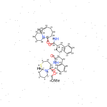 COC(=O)[C@@H]1CCC[C@@H]2SCC[C@H](NC(=O)[C@H](CC[C@H](Cc3ccccc3)C(=O)N[C@H]3CC/C=C\[C@H]4CCCCN4C3=O)Cc3ccccc3)C(=O)N21